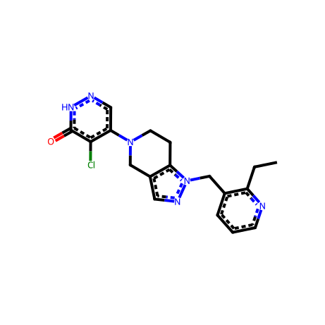 CCc1ncccc1Cn1ncc2c1CCN(c1cn[nH]c(=O)c1Cl)C2